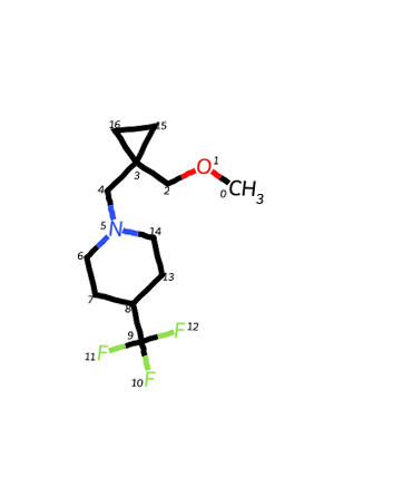 COCC1(CN2CCC(C(F)(F)F)CC2)CC1